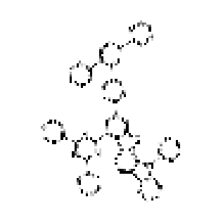 c1ccc(-c2ccc(-c3ccccc3)c(-c3ccc(-c4cc(-c5nc(-c6ccccc6)nc(-c6ccccc6)n5)c5c(c4)sc4c5ccc5c6ccccc6n(-c6ccccc6)c54)cc3)c2)cc1